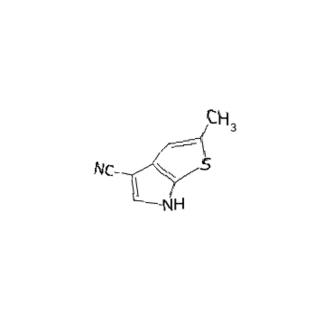 Cc1cc2c(C#N)c[nH]c2s1